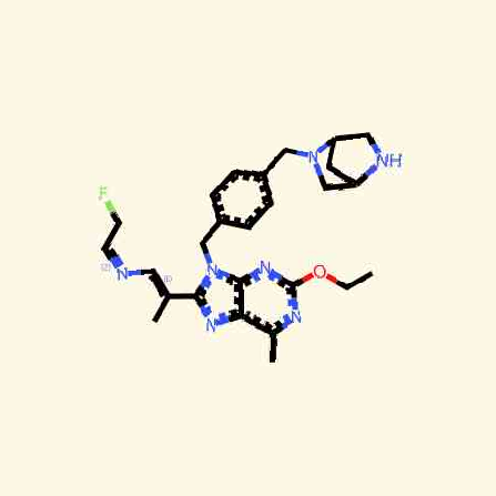 CCOc1nc(C)c2nc(/C(C)=C/N=C\CF)n(Cc3ccc(CN4CC5CC4CN5)cc3)c2n1